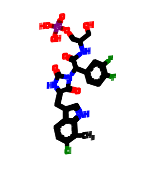 Cc1c(Cl)ccc2c(C=C3NC(=O)N(C(C(=O)NC(CO)COP(=O)(O)O)c4ccc(F)c(F)c4)C3=O)c[nH]c12